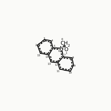 C=O.c1ccc2nc3ccccc3cc2c1